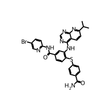 CC(C)c1ccc2c(Nc3cc(C(=O)Nc4ccc(Br)cn4)ccc3Sc3ccc(C(N)=O)cc3)ncnc2n1